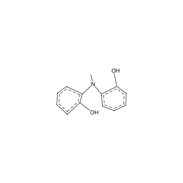 CN(c1ccccc1O)c1ccccc1O